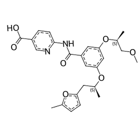 COC[C@H](C)Oc1cc(O[C@@H](C)Cc2ccc(C)o2)cc(C(=O)Nc2ccc(C(=O)O)cn2)c1